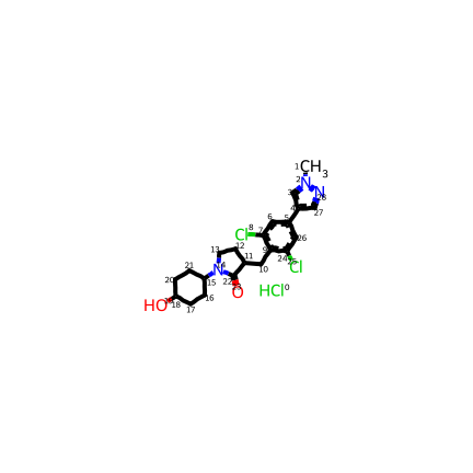 Cl.Cn1cc(-c2cc(Cl)c(CC3CCN(C4CCC(O)CC4)C3=O)c(Cl)c2)cn1